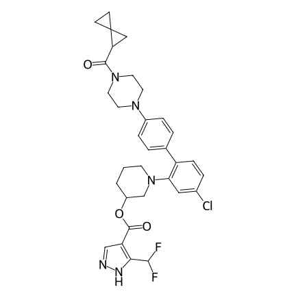 O=C(OC1CCCN(c2cc(Cl)ccc2-c2ccc(N3CCN(C(=O)C4CC45CC5)CC3)cc2)C1)c1cn[nH]c1C(F)F